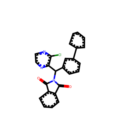 O=C1c2ccccc2C(=O)N1C(c1cccc(-c2ccccc2)c1)c1nccnc1Cl